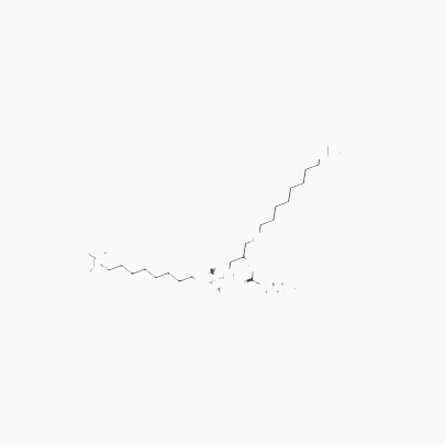 CCCCCCCCCCCCCCCCCCOCC(COP(=O)([O-])OCCCCCCCC[N+](C)(C)C)OC(=O)NC